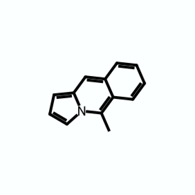 Cc1c2ccccc2cc2cccn12